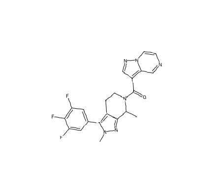 CC1c2nn(C)c(-c3cc(F)c(F)c(F)c3)c2CCN1C(=O)c1cnn2ccncc12